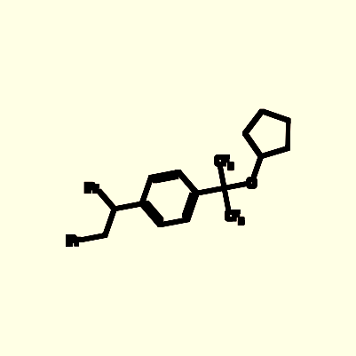 CC(C)CC(c1ccc(C(OC2CCCC2)(C(F)(F)F)C(F)(F)F)cc1)C(C)C